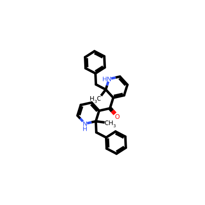 CC1(Cc2ccccc2)NC=CC=C1C(=O)C1=CC=CNC1(C)Cc1ccccc1